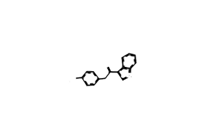 Cc1ccc(CC(=O)c2c[nH]c3ccccc23)cc1